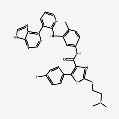 Cc1ccc(NC(=O)c2nc(SCCN(C)C)oc2-c2ccc(F)cc2)cc1Nc1ncccc1-c1ncnc2[nH]cnc12